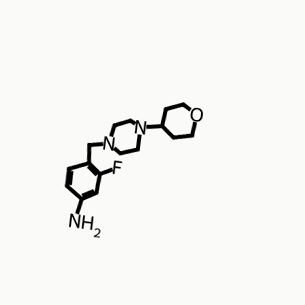 Nc1ccc(CN2CCN(C3CCOCC3)CC2)c(F)c1